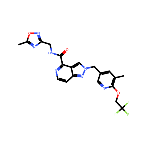 Cc1nc(CNC(=O)c2nccc3nn(Cc4cnc(OCC(F)(F)F)c(C)c4)cc23)no1